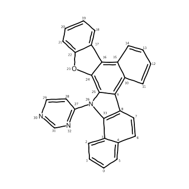 c1ccc2c(c1)ccc1c3c4ccccc4c4c5ccccc5oc4c3n(-c3ccncn3)c21